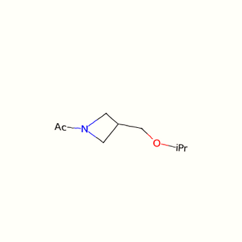 CC(=O)N1CC(COC(C)C)C1